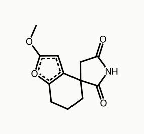 COc1cc2c(o1)CCCC21CC(=O)NC1=O